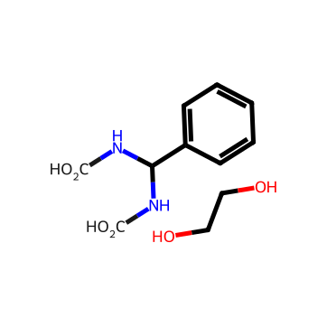 O=C(O)NC(NC(=O)O)c1ccccc1.OCCO